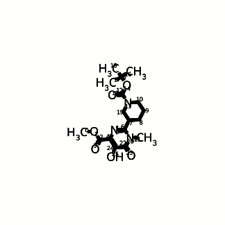 COC(=O)c1nc(C2CCCN(C(=O)OC(C)(C)C)C2)n(C)c(=O)c1O